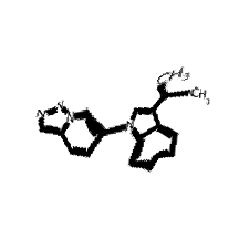 CC(C)c1cn(-c2ccc3cnnn3c2)c2ccccc12